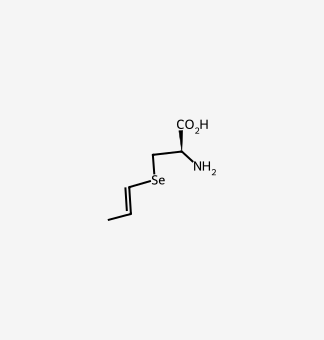 CC=C[Se]C[C@H](N)C(=O)O